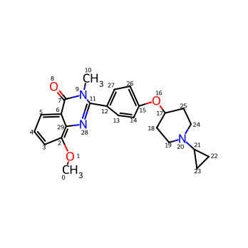 COc1cccc2c(=O)n(C)c(-c3ccc(OC4CCN(C5CC5)CC4)cc3)nc12